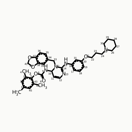 Cc1cc(C)c(OC(=O)NC2C=CN=C(Nc3cccc(OCCCN4CCCCC4)c3)N2Cc2ccc3c(c2)OCO3)c(C)c1